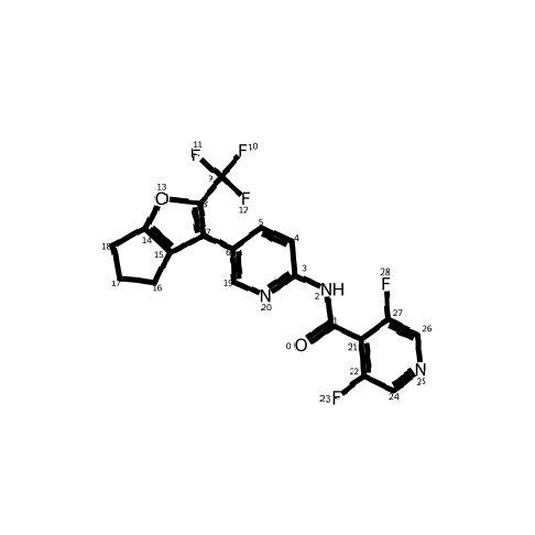 O=C(Nc1ccc(-c2c(C(F)(F)F)oc3c2CCC3)cn1)c1c(F)cncc1F